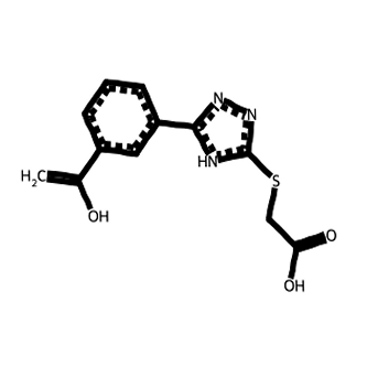 C=C(O)c1cccc(-c2nnc(SCC(=O)O)[nH]2)c1